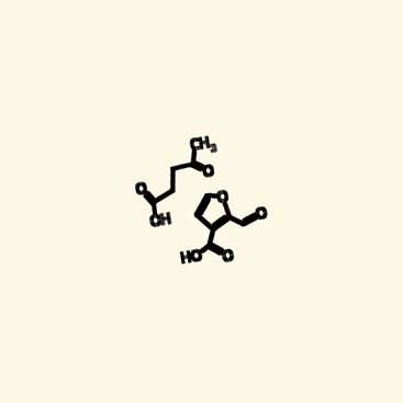 CC(=O)CCC(=O)O.O=Cc1occc1C(=O)O